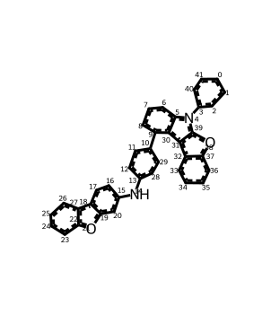 c1ccc(-n2c3cccc(-c4ccc(Nc5ccc6c(c5)oc5ccccc56)cc4)c3c3c4ccccc4oc32)cc1